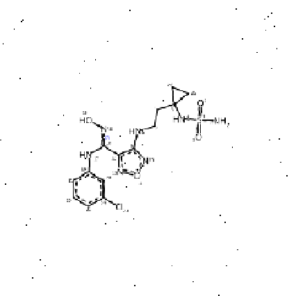 NS(=O)(=O)NC1(CCNc2nonc2/C(=N/O)Nc2cccc(Cl)c2)CC1